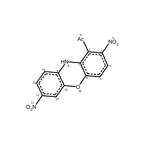 CC(=O)c1c([N+](=O)[O-])ccc2c1Nc1ccc([N+](=O)[O-])cc1O2